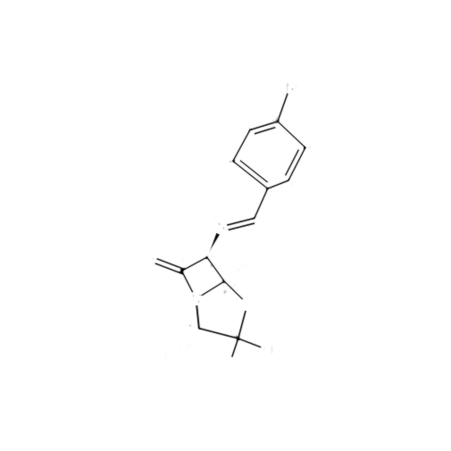 CC1(C)S[C@@H]2[C@H](N=Cc3ccc([N+](=O)[O-])cc3)C(=O)N2[C@H]1C(=O)O